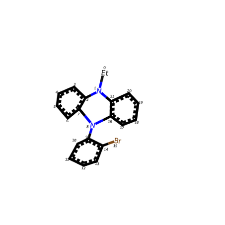 CCN1c2ccccc2N(c2ccccc2Br)c2ccccc21